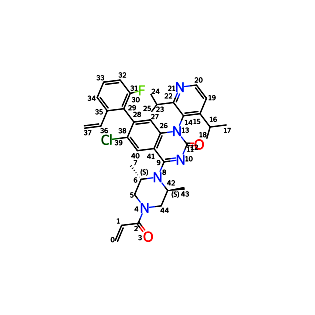 C=CC(=O)N1C[C@H](C)N(c2nc(=O)n(-c3c(C(C)C)ccnc3C(C)C)c3cc(-c4c(F)cccc4C=C)c(Cl)cc23)[C@@H](C)C1